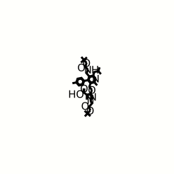 Cc1ccc(-c2c(COc3nn(CC(=O)OC(C)(C)C)cc3C(=O)O)c(C)nc(CC(C)C)c2CNC(=O)OC(C)(C)C)cc1